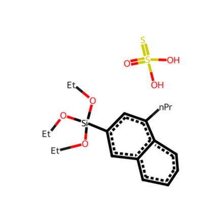 CCCc1cc([Si](OCC)(OCC)OCC)cc2ccccc12.O=S(O)(O)=S